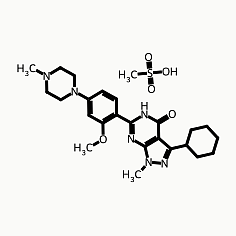 COc1cc(N2CCN(C)CC2)ccc1-c1nc2c(c(C3CCCCC3)nn2C)c(=O)[nH]1.CS(=O)(=O)O